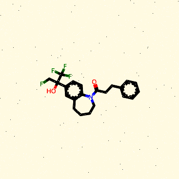 O=C(CCc1ccccc1)N1CCCCc2cc(C(O)(CF)C(F)(F)F)ccc21